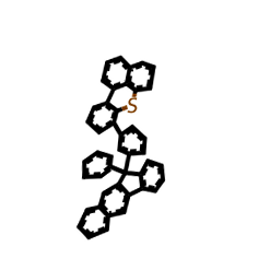 c1ccc(C2(c3cccc(-c4cccc5c4Sc4cccc6cccc-5c46)c3)c3ccccc3-c3cc4ccccc4cc32)cc1